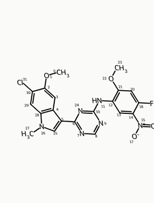 COc1cc2c(-c3ncnc(Nc4cc([N+](=O)[O-])c(F)cc4OC)n3)cn(C)c2cc1Cl